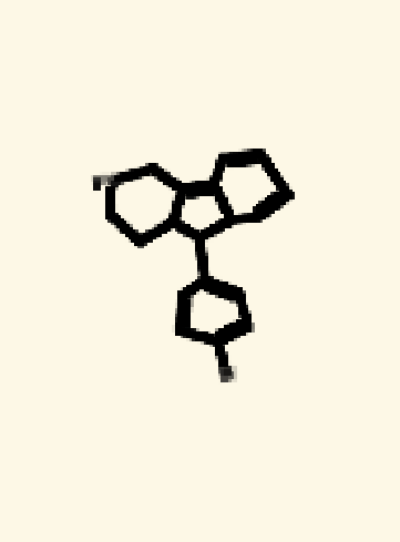 Brc1ccc(C2C3C=CC=CC3=C3CNCCC32)cc1